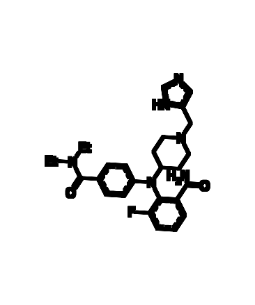 CCN(CC)C(=O)c1ccc(N(c2c(F)cccc2C(N)=O)C2CCN(Cc3cnc[nH]3)CC2)cc1